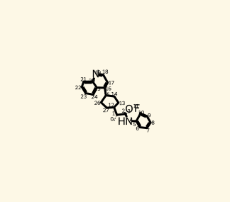 C[C@@H](C(=O)Nc1ccccc1F)C1CCC(c2ccnc3ccccc23)CC1